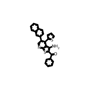 Nc1c(C(=O)c2ccccc2)sc2ncc(-c3ccc4ccccc4c3)c(-c3cccs3)c12